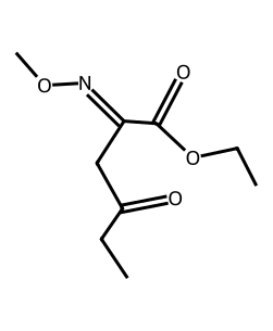 CCOC(=O)/C(CC(=O)CC)=N/OC